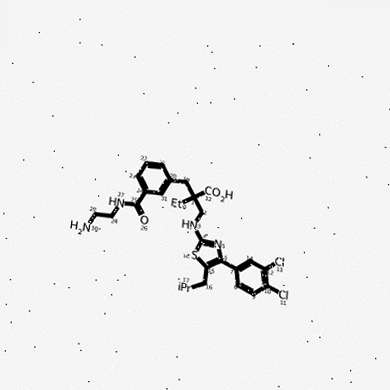 CCC(CNc1nc(-c2ccc(Cl)c(Cl)c2)c(CC(C)C)s1)(Cc1cccc(C(=O)NCCN)c1)C(=O)O